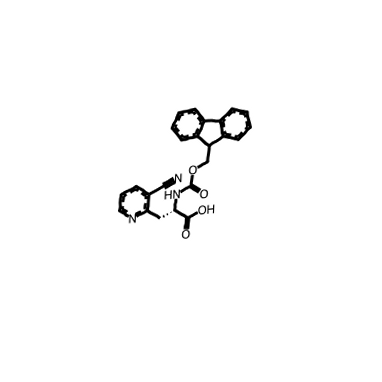 N#Cc1cccnc1C[C@H](NC(=O)OCC1c2ccccc2-c2ccccc21)C(=O)O